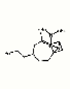 CCCCN(CCCC)[C@]12C(C)CC(CCC(C)CC)CCC13CC2N3C